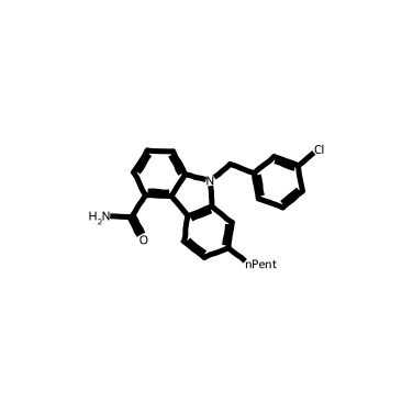 CCCCCc1c[c]c2c3c(C(N)=O)cccc3n(Cc3cccc(Cl)c3)c2c1